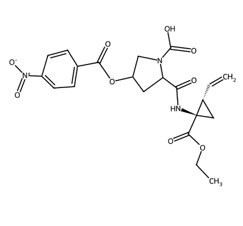 C=C[C@@H]1C[C@]1(NC(=O)C1CC(OC(=O)c2ccc([N+](=O)[O-])cc2)CN1C(=O)O)C(=O)OCC